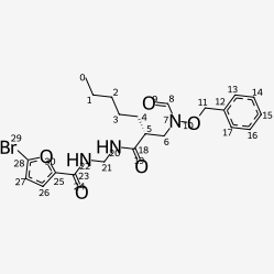 CCCCC[C@H](CN(C=O)OCc1ccccc1)C(=O)NCNC(=O)c1ccc(Br)o1